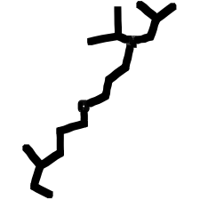 CCC(C)CCCOCCCN(CC(C)C)C(C)C